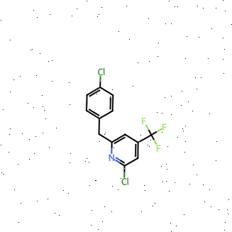 FC(F)(F)c1cc(Cl)nc(Cc2ccc(Cl)cc2)c1